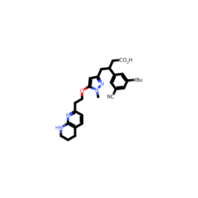 Cn1nc(CC(CC(=O)O)c2cc(C#N)cc(C(C)(C)C)c2)cc1OCCc1ccc2c(n1)NCCC2